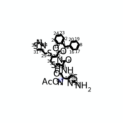 CC(=O)O/N=C(\C(=O)N[C@@H]1C(=O)N2C(C(=O)OC(c3ccccc3)c3ccccc3)=C(SCc3csnn3)CS[C@H]12)c1csc(N)n1